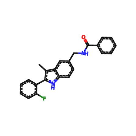 Cc1c(-c2ccccc2F)[nH]c2ccc(CNC(=O)c3ccccc3)cc12